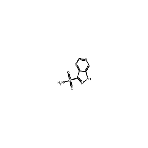 NS(=O)(=O)c1n[nH]c2cncnc12